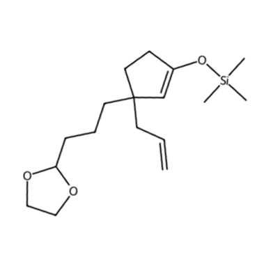 C=CCC1(CCCC2OCCO2)C=C(O[Si](C)(C)C)CC1